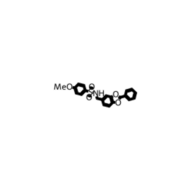 COc1ccc(S(=O)(=O)NCc2ccc3c(c2)OC(c2ccccc2)O3)cc1